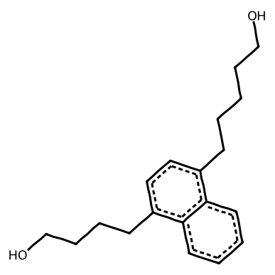 OCCCCCc1ccc(CCCCO)c2ccccc12